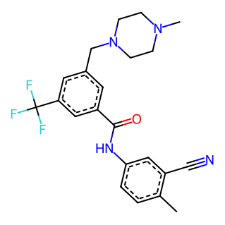 Cc1ccc(NC(=O)c2cc(CN3CCN(C)CC3)cc(C(F)(F)F)c2)cc1C#N